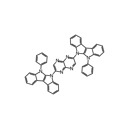 c1ccc(-n2c3ccccc3c3c4ccccc4n(-c4cnc5nc(-n6c7ccccc7c7c8ccccc8n(-c8ccccc8)c76)cnc5n4)c32)cc1